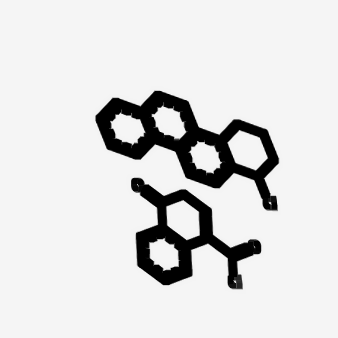 ClC1CCCc2c1ccc1c2ccc2ccccc21.O=C(Cl)C1=CCC(=O)c2ccccc21